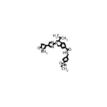 CCS(=O)(=O)c1ccc(CNC(=O)c2ccc3c(c2)CN(c2ncc(-c4ccc(=O)n(C)c4)cn2)CC3C(C)C)cc1